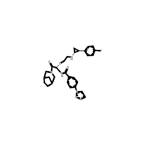 O=C(N[C@@H](CCCN[C@@H]1C[C@H]1c1ccc(F)cc1)C(=O)N1CC2CCC(C2)C1)c1ccc(-n2ccnn2)cc1